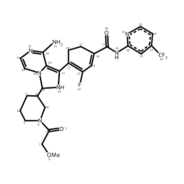 COCC(=O)N1CCCC(C2NC(C3=C(F)C=C(C(=O)Nc4cc(C(F)(F)F)ccn4)CC3)=C3C(N)=NC=CN32)C1